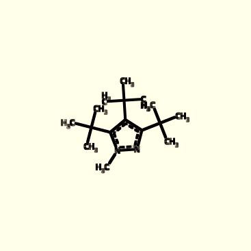 Cn1nc(C(C)(C)C)c(C(C)(C)C)c1C(C)(C)C